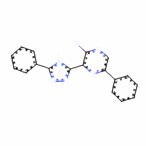 Nc1ncc(-c2c[c]ccc2)nc1-c1nnc(-c2ccccc2)[nH]1